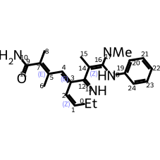 CC\C=C/C(=C\C(C)=C(/C)C(N)=O)C(=N)/C(C)=C(/NC)Nc1ccccc1